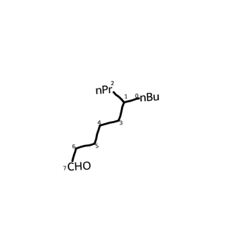 CCCCC(CCC)CCCCC=O